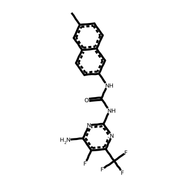 Cc1ccc2cc(NC(=O)Nc3nc(N)c(F)c(C(F)(F)F)n3)ccc2c1